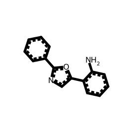 Nc1ccccc1-c1cnc(-c2ccccc2)o1